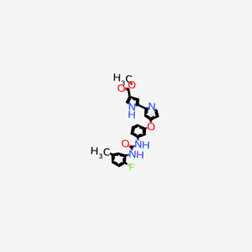 COC(=O)c1c[nH]c(-c2cc(Oc3cccc(NC(=O)Nc4cc(C)ccc4F)c3)ccn2)c1